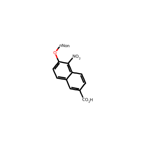 CCCCCCCCCOc1ccc2cc(C(=O)O)ccc2c1[N+](=O)[O-]